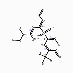 C=C/C=C(\C=C(/C)C(C)CC)S(=O)(=O)C(/C=C(\C=C)C(C)(C)C)=C/C